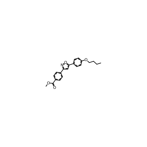 CCCCOc1ccc(-c2cc(-c3ccc(C(=O)OC)cc3)no2)cc1